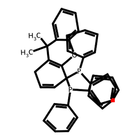 CC1(C)C2=C(Oc3ccccc31)C(P(c1ccccc1)c1ccccc1)(P(c1ccccc1)c1ccccc1)C=CC2